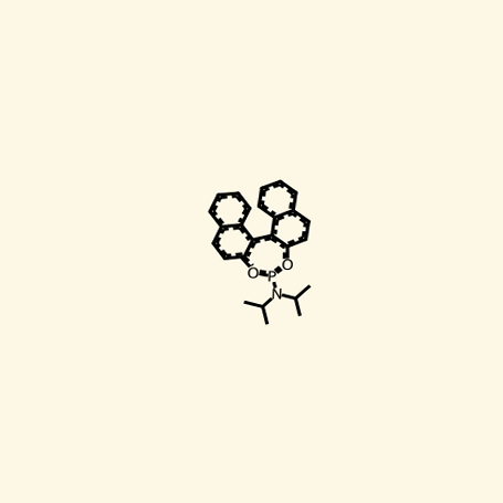 CC(C)N(C(C)C)p1oc2ccc3ccccc3c2c2c(ccc3ccccc32)o1